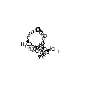 CC[C@@H]1C[C@]1(NC(=O)C1CC2CN1C(=O)C(C(C)(C)C)NC(=O)OC1(C)CC1CCCCCc1cccc3c1CN(C3)C(=O)O2)C(=O)NS(=O)(=O)C1CC1